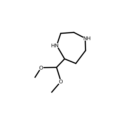 COC(OC)C1CCNCCN1